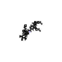 COc1cc(/C=C/C2=NOC(CO)(c3cc(F)c(F)c(F)c3)N2CCCCl)ccc1-n1cnc(C)c1